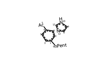 CCCCCc1ccc(C(C)=O)cc1.c1c[nH]cn1